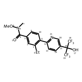 CCc1cc(C(=O)N(C)OC)ccc1-c1ccc(C(O)(C(F)(F)F)C(F)(F)F)cn1